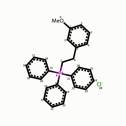 COc1cccc(CC[P+](c2ccccc2)(c2ccccc2)c2ccccc2)c1.[Cl-]